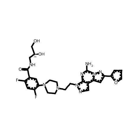 Nc1nc2c(cnn2CCN2CCN(c3cc(C(=O)NC[C@H](O)CO)c(F)cc3F)CC2)c2cc(-c3ccco3)nn12